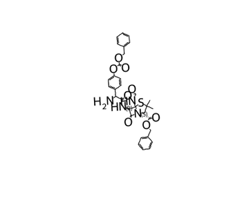 CC1(C)SC2(NC=O)[C@H](NC(=O)C(N)c3ccc(OC(=O)OCc4ccccc4)cc3)C(=O)N2[C@H]1C(=O)OCc1ccccc1